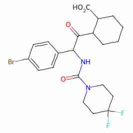 O=C(O)C1CCCCC1C(=O)C(NC(=O)N1CCC(F)(F)CC1)c1ccc(Br)cc1